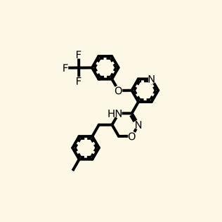 Cc1ccc(CC2CON=C(c3ccncc3Oc3cccc(C(F)(F)F)c3)N2)cc1